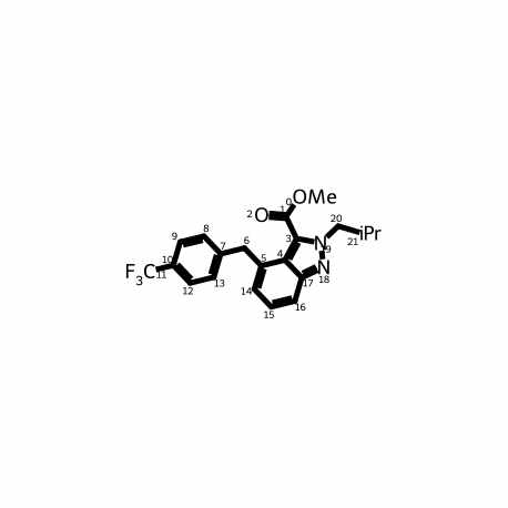 COC(=O)c1c2c(Cc3ccc(C(F)(F)F)cc3)cccc2nn1CC(C)C